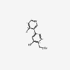 CCc1cc(-c2cccnc2C)ccc1CC(C)CC